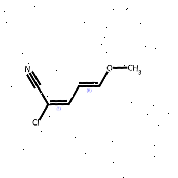 CO/C=C/C=C(/Cl)C#N